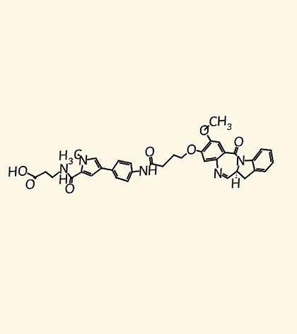 COc1cc2c(cc1OCCCC(=O)Nc1ccc(-c3cc(C(=O)NCCC(=O)O)n(C)c3)cc1)N=C[C@@H]1Cc3ccccc3N1C2=O